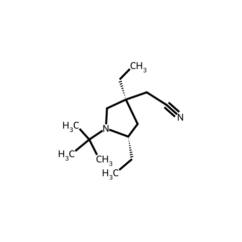 CC[C@H]1C[C@](CC)(CC#N)CN1C(C)(C)C